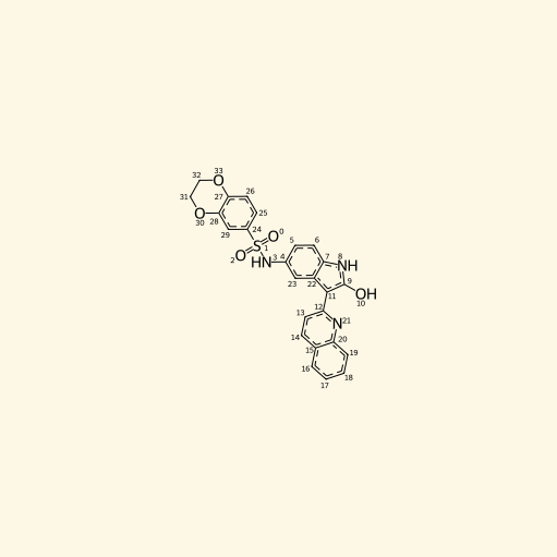 O=S(=O)(Nc1ccc2[nH]c(O)c(-c3ccc4ccccc4n3)c2c1)c1ccc2c(c1)OCCO2